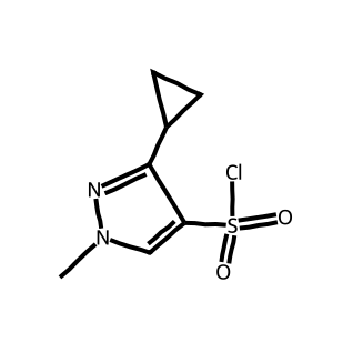 Cn1cc(S(=O)(=O)Cl)c(C2CC2)n1